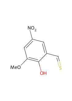 COc1cc([N+](=O)[O-])cc(C=S)c1O